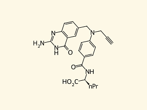 C#CCN(Cc1ccc2nc(N)[nH]c(=O)c2c1)c1ccc(C(=O)N[C@@H](CCC)C(=O)O)cc1